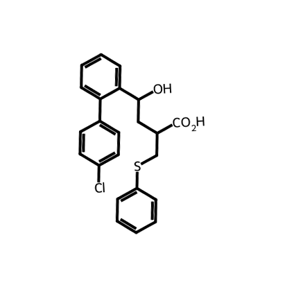 O=C(O)C(CSc1ccccc1)CC(O)c1ccccc1-c1ccc(Cl)cc1